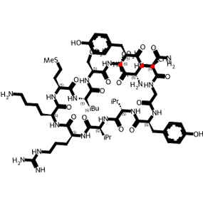 CC[C@H](C)[C@H](NC(=O)[C@H](CCSC)NC(=O)[C@H](CCCCN)NC(=O)[C@H](CCCNC(=N)N)NC(=O)[C@@H](NC(=O)[C@@H](NC(=O)[C@H](Cc1ccc(O)cc1)NC(=O)CNC(=O)[C@H](C)NC(=O)[C@H](Cc1ccc(O)cc1)NC(=O)[C@@H](N)CCC(N)=O)C(C)C)C(C)C)C(=O)N[C@@H](CC(=O)O)C(=O)N[C@H](C(=O)O)C(C)C